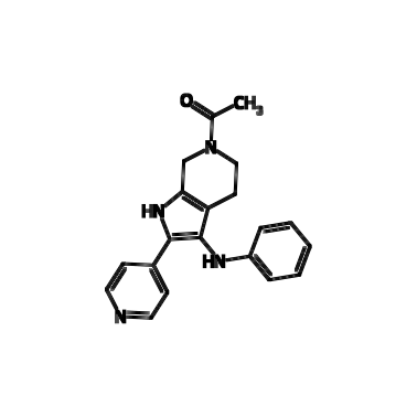 CC(=O)N1CCc2c([nH]c(-c3ccncc3)c2Nc2ccccc2)C1